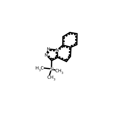 C[Si](C)(C)c1nnn2c1ccc1ccccc12